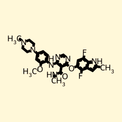 CNC(=O)c1c(Nc2ccc(N3CCN(C)CC3)cc2OC)ncnc1Oc1cc(F)c2[nH]c(C)cc2c1F